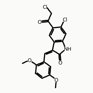 COc1ccc(OC)c(C=C2C(=O)Nc3cc(Cl)c(C(=O)CCl)cc32)c1